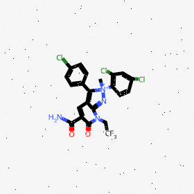 C[N+]1(c2ccc(Cl)cc2Cl)N=c2c(cc(C(N)=O)c(=O)n2CC(F)(F)F)=C1c1ccc(Cl)cc1